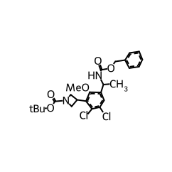 COc1c(C(C)NC(=O)OCc2ccccc2)cc(Cl)c(Cl)c1C1CN(C(=O)OC(C)(C)C)C1